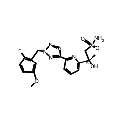 COc1ccc(F)c(Cn2nnc(-c3cccc([C@@](C)(O)CS(N)(=O)=O)n3)n2)c1